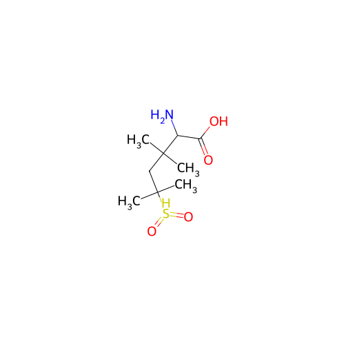 CC(C)(CC(C)(C)[SH](=O)=O)C(N)C(=O)O